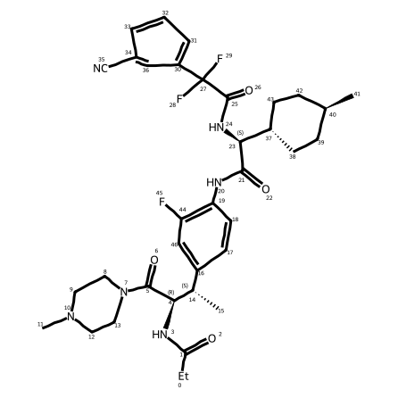 CCC(=O)N[C@@H](C(=O)N1CCN(C)CC1)[C@@H](C)c1ccc(NC(=O)[C@@H](NC(=O)C(F)(F)c2cccc(C#N)c2)[C@H]2CC[C@H](C)CC2)c(F)c1